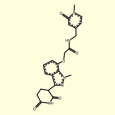 Cn1ccc(CNC(=O)COc2cccc3c(C4CCC(=O)NC4=O)nn(C)c23)cc1=O